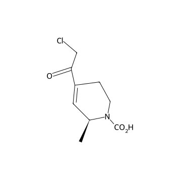 C[C@H]1C=C(C(=O)CCl)CCN1C(=O)O